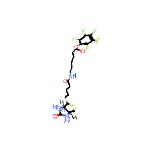 O=C(CCCC[C@@H]1SC[C@@H]2NC(=O)N[C@@H]21)NCCCCCC(=O)Oc1c(F)c(F)c(F)c(F)c1F